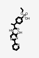 CCOP(=O)(O)c1ccc(C(C)C(=O)Nc2cnc(-c3ccccn3)nc2O)cc1